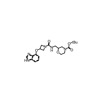 CC(C)(C)OC(=O)N1CCOC(CNC(=O)N2CC(Oc3cccc4[nH]cnc34)C2)C1